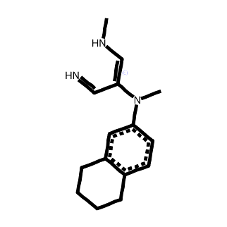 CN/C=C(\C=N)N(C)c1ccc2c(c1)CCCC2